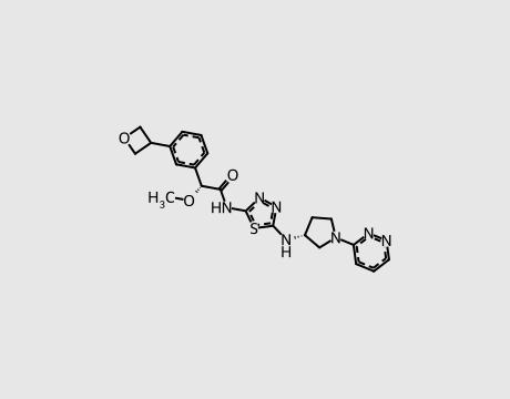 CO[C@@H](C(=O)Nc1nnc(N[C@@H]2CCN(c3cccnn3)C2)s1)c1cccc(C2COC2)c1